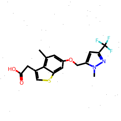 Cc1cc(OCc2cc(C(F)(F)F)nn2C)cc2scc(CC(=O)O)c12